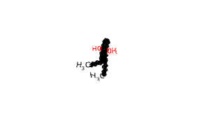 CCCCCCc1cc2cc3c(O)c4cc5ccccc5cc4c(O)c3cc2cc1CCCCCC